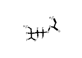 C=CC(=O)OOC(F)(F)C(F)(F)C(F)(CC)C(F)F